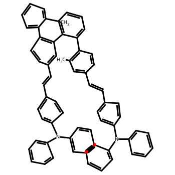 Cc1cc(/C=C/c2ccc(N(c3ccccc3)c3ccccc3)cc2)ccc1-c1ccccc1-c1cc(/C=C/c2ccc(N(c3ccccc3)c3ccccc3)cc2)ccc1-c1ccccc1C